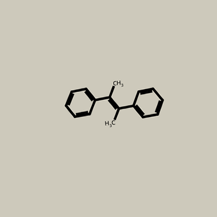 C/C(=C(/C)c1ccccc1)c1ccccc1